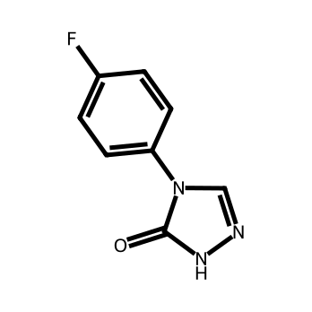 O=c1[nH]ncn1-c1ccc(F)cc1